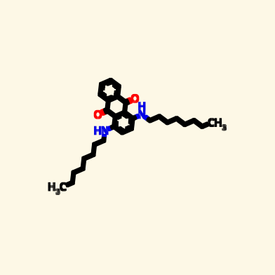 CCCCCCCCNc1ccc(NCCCCCCCC)c2c1C(=O)c1ccccc1C2=O